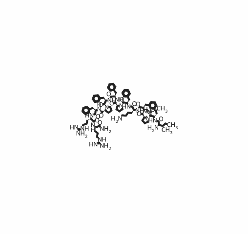 CC[C@H](C)[C@H](N)C(=O)N[C@@H](CC(C)C)C(=O)N1CCC[C@H]1C(=O)N[C@H](Cc1ccccc1)C(=O)N[C@@H](CCCCN)C(=O)N[C@H](Cc1ccccc1)C(=O)N1CCC[C@H]1C(=O)N[C@H](Cc1ccccc1)C(=O)N[C@H](Cc1ccccc1)C(=O)N1CCC[C@H]1C(=O)N[C@H](Cc1ccccc1)C(=O)N[C@@H](CCCNC(=N)N)C(=O)N[C@@H](CCCNC(=N)N)C(N)=O